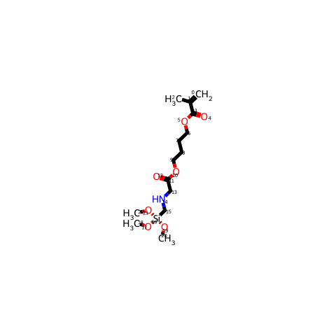 C=C(C)C(=O)OCCCCOC(=O)CNC[Si](OC)(OC)OC